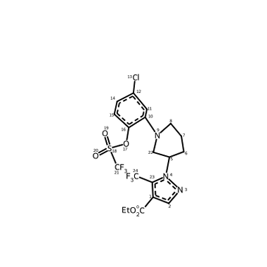 CCOC(=O)c1cnn(C2CCCN(c3cc(Cl)ccc3OS(=O)(=O)C(F)(F)F)C2)c1C(F)(F)F